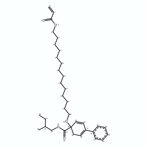 C=CC(=O)OCCCCCCCCCCCCCCOC1(C(=O)OCC(C)CC)C=CC(c2ccccc2)=CC1